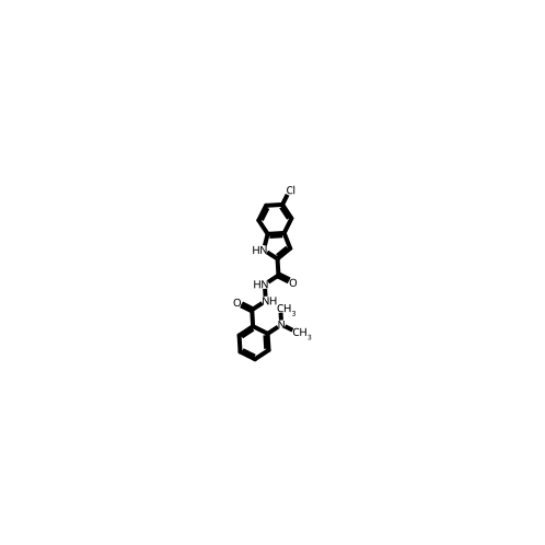 CN(C)c1ccccc1C(=O)NNC(=O)c1cc2cc(Cl)ccc2[nH]1